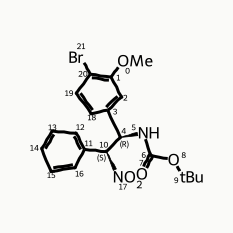 COc1cc([C@@H](NC(=O)OC(C)(C)C)[C@H](c2ccccc2)[N+](=O)[O-])ccc1Br